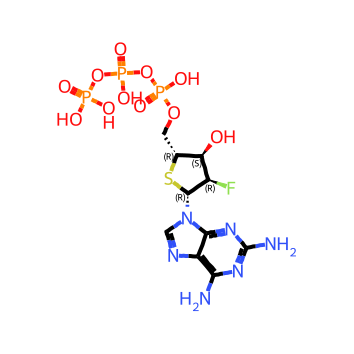 Nc1nc(N)c2ncn([C@@H]3S[C@H](COP(=O)(O)OP(=O)(O)OP(=O)(O)O)[C@@H](O)[C@H]3F)c2n1